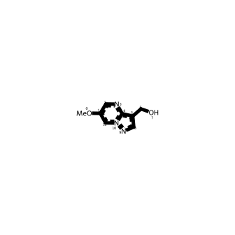 COc1cnc2c(CO)cnn2c1